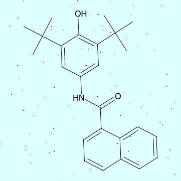 CC(C)(C)c1cc(NC(=O)c2cccc3ccccc23)cc(C(C)(C)C)c1O